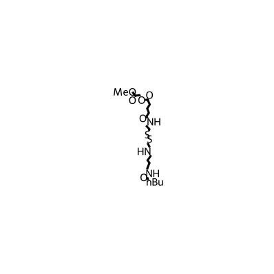 CCCCC(=O)NCCCCNCCSSCCNC(=O)CCCC(=O)OCC(=O)OC